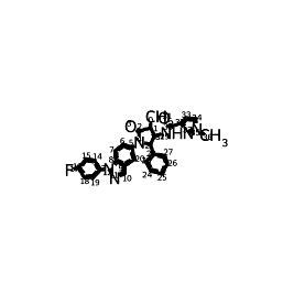 CC1C(=O)N(c2ccc3c(cnn3-c3ccc(F)cc3)c2)C(c2ccccc2)C1NC(=O)c1ccn(C)n1